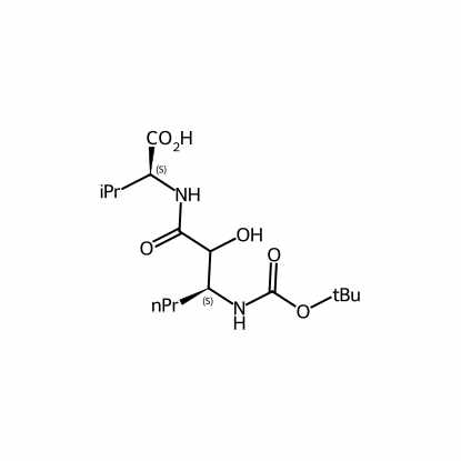 CCC[C@H](NC(=O)OC(C)(C)C)C(O)C(=O)N[C@H](C(=O)O)C(C)C